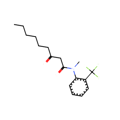 CCCCCCC(=O)CC(=O)N(C)c1ccccc1C(F)(F)F